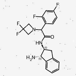 N[C@H]1c2ccccc2C[C@@H]1NC(=O)C(c1ccc(F)cc1F)N1CC(F)(F)C1